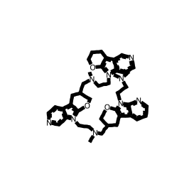 CN(C)CCn1c2c(c3cccnc31)CC(CN(C)CCn1c3c(c4ccncc41)CC(CN(C)CCn1c4c(c5cnccc51)CCCO4)CO3)CO2